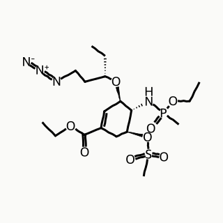 CCOC(=O)C1=C[C@@H](O[C@@H](CC)CCN=[N+]=[N-])[C@H](NP(C)(=O)OCC)[C@@H](OS(C)(=O)=O)C1